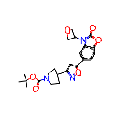 CC(C)(C)OC(=O)N1CCC(c2cc(-c3ccc4oc(=O)n(C5COC5)c4c3)on2)CC1